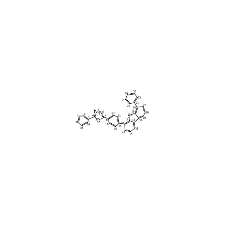 c1ccc(-c2nnc(-c3ccc(-c4cccc5c4sc4c(-c6ccccc6)cccc45)cc3)o2)cc1